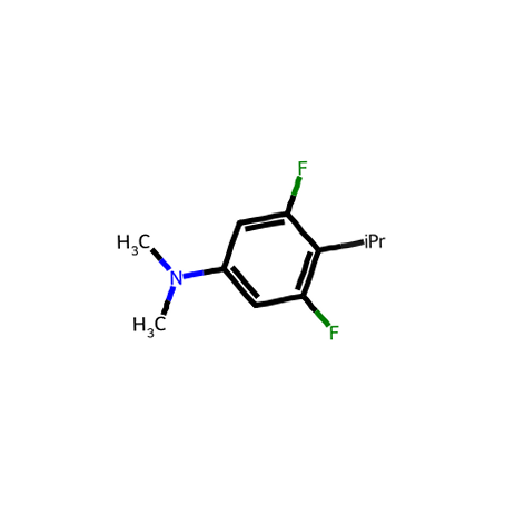 CC(C)c1c(F)cc(N(C)C)cc1F